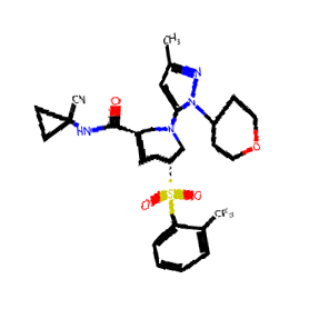 Cc1cc(N2C[C@H](S(=O)(=O)c3ccccc3C(F)(F)F)C[C@H]2C(=O)NC2(C#N)CC2)n(C2CCOCC2)n1